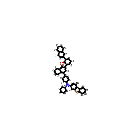 c1ccc(N(c2ccc(-c3cc4c5cccc(-c6ccc7ccccc7c6)c5oc4c4ccccc34)cc2)c2ccc3c(c2)sc2ccccc23)cc1